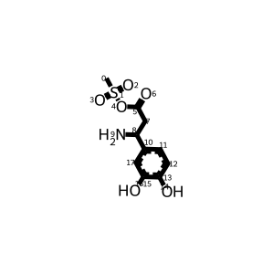 CS(=O)(=O)OC(=O)CC(N)c1ccc(O)c(O)c1